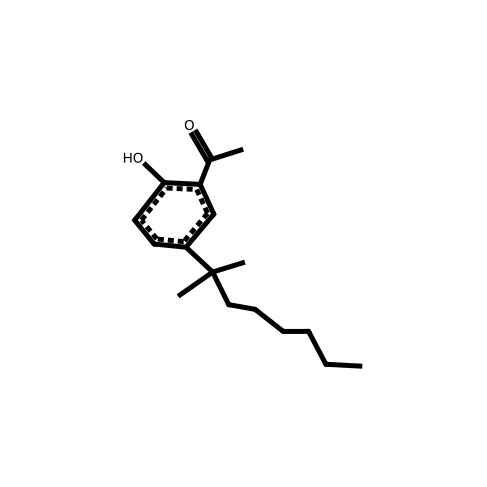 CCCCCCC(C)(C)c1ccc(O)c(C(C)=O)c1